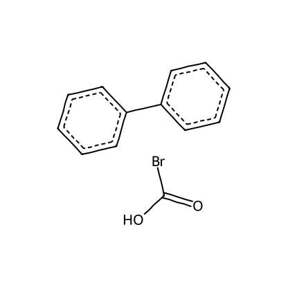 O=C(O)Br.c1ccc(-c2ccccc2)cc1